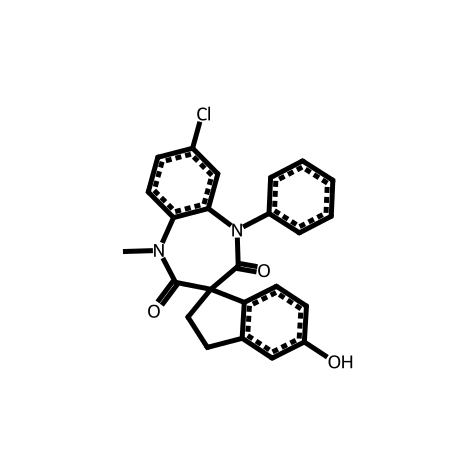 CN1C(=O)C2(CCc3cc(O)ccc32)C(=O)N(c2ccccc2)c2cc(Cl)ccc21